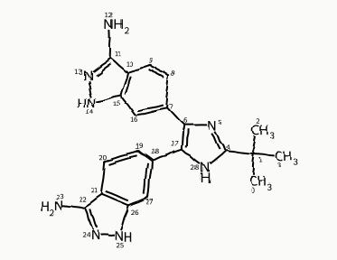 CC(C)(C)c1nc(-c2ccc3c(N)n[nH]c3c2)c(-c2ccc3c(N)n[nH]c3c2)[nH]1